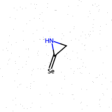 [Se]=C1CN1